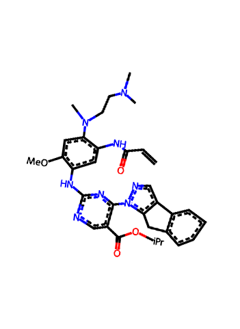 C=CC(=O)Nc1cc(Nc2ncc(C(=O)OC(C)C)c(-n3ncc4c3Cc3ccccc3-4)n2)c(OC)cc1N(C)CCN(C)C